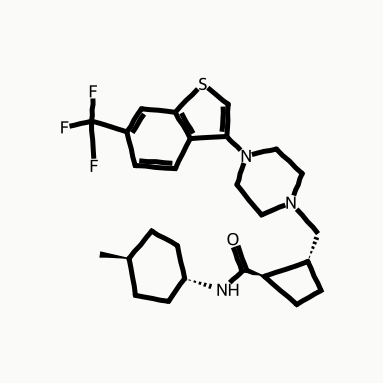 C[C@H]1CC[C@H](NC(=O)[C@@H]2CC[C@H]2CN2CCN(c3csc4cc(C(F)(F)F)ccc34)CC2)CC1